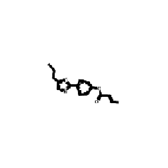 CC=CC(=O)Oc1ccc(-c2ncc(CCC)s2)cc1